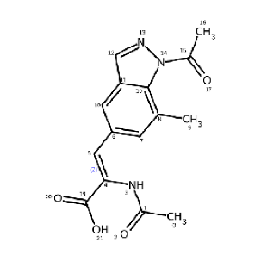 CC(=O)N/C(=C\c1cc(C)c2c(cnn2C(C)=O)c1)C(=O)O